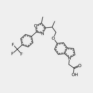 Cc1oc(-c2ccc(C(F)(F)F)cc2)nc1C(C)COc1ccc2c(ccn2CC(=O)O)c1